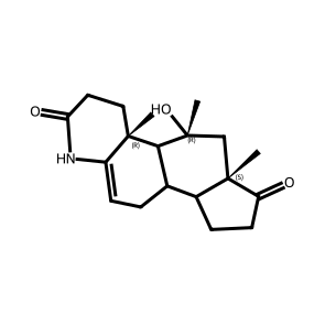 C[C@]12CCC(=O)NC1=CCC1C2[C@](C)(O)C[C@]2(C)C(=O)CCC12